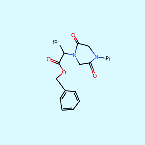 CC(C)C(C(=O)OCc1ccccc1)N1CC(=O)N(C(C)C)CC1=O